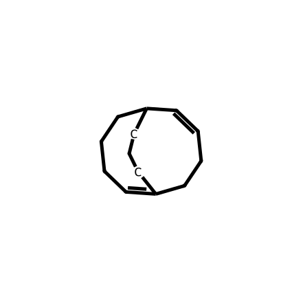 C1=C\C2CCC/C=C(/CC/1)CCC2